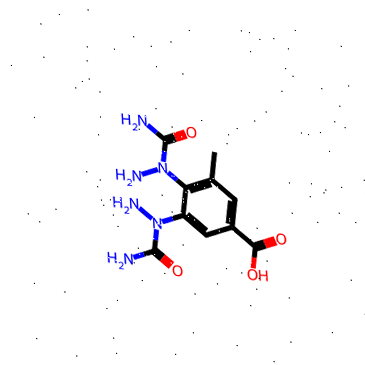 Cc1cc(C(=O)O)cc(N(N)C(N)=O)c1N(N)C(N)=O